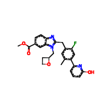 COC(=O)c1ccc2nc(Cc3cc(C)c(-c4cccc(O)n4)cc3F)n(CC3CCO3)c2c1